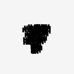 CC(CCC(OC[C@H]1OC(COCC2(C)OC(CO)[C@H](O)C(O)[C@H]2O)[C@H](O)C(O)[C@H]1O[C@@]1(C)OC(CO)[C@H](O)C(O)[C@H]1O)C(C)(C)O)C(C)C1CC(O)C2(C)C3CCC(OC[C@]4(C)CC(COCC5(C)OC(CO)[C@@H](O)[C@@H](O)C5O)[C@@H](O)[C@@H](O)C4O)C(C)(C)C3=CCC2C1C